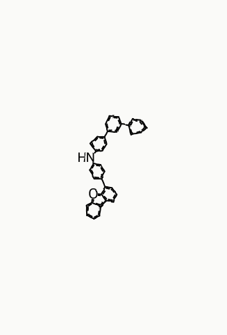 c1ccc(-c2cccc(-c3ccc(Nc4ccc(-c5cccc6c5oc5ccccc56)cc4)cc3)c2)cc1